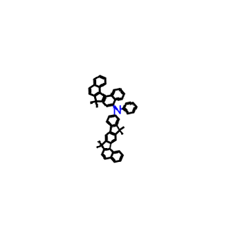 CC1(C)c2cc(N(c3ccccc3)c3cc4c(c5ccccc35)-c3c(ccc5ccccc35)C4(C)C)ccc2-c2cc3c(cc21)-c1c(ccc2ccccc12)C3(C)C